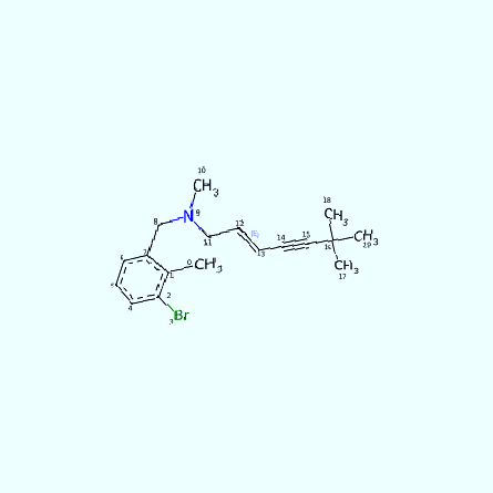 Cc1c(Br)cccc1CN(C)C/C=C/C#CC(C)(C)C